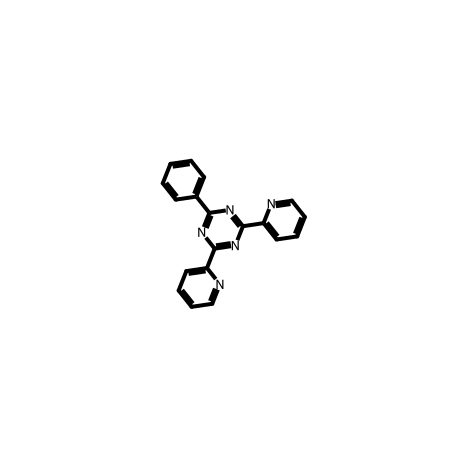 c1ccc(-c2nc(-c3ccccn3)nc(-c3ccccn3)n2)cc1